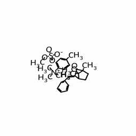 CC12CCC(C(=Cc3ccccc3)C1=O)C2(C)C.COS(=O)(=O)[O-].Cc1ccc([N+](C)(C)C)cc1